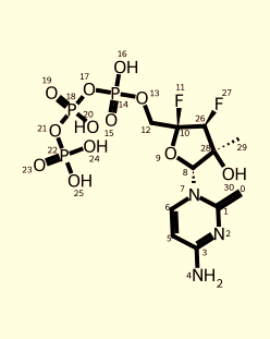 C=C1N=C(N)C=CN1[C@@H]1O[C@](F)(COP(=O)(O)OP(=O)(O)OP(=O)(O)O)[C@@H](F)[C@@]1(C)O